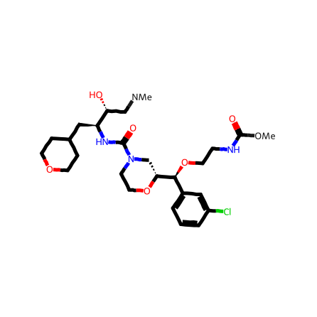 CNC[C@@H](O)[C@H](CC1CCOCC1)NC(=O)N1CCO[C@@H]([C@@H](OCCNC(=O)OC)c2cccc(Cl)c2)C1